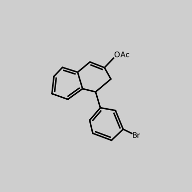 CC(=O)OC1=Cc2ccccc2C(c2cccc(Br)c2)C1